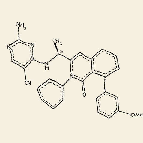 COc1cccc(-c2cccc3cc([C@H](C)Nc4nc(N)ncc4C#N)n(-c4ccccc4)c(=O)c23)c1